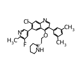 Cc1cc(C)cc(-c2cnc3cc(Cl)c(-c4cnc(C)c(F)c4)cc3c2OCC[C@H]2CCCCN2)c1